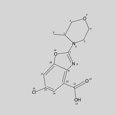 CC1COCCN1c1nc2c(C(=O)O)cc(Cl)cc2o1